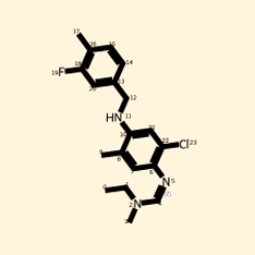 CCN(C)/C=N\c1cc(C)c(NCc2ccc(C)c(F)c2)cc1Cl